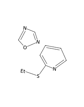 CCSc1ccccn1.c1ncon1